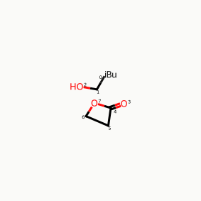 CCC(C)CO.O=C1CCO1